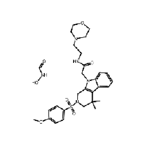 COc1ccc(S(=O)(=O)N2Cc3c(c4ccccc4n3CC(=O)NCCN3CCOCC3)C(C)(C)C2)cc1.O=CNO